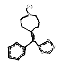 CN1CCC(=C(c2ccccc2)c2nnco2)CC1